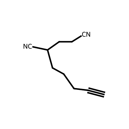 C#CCCCC(C#N)CCC#N